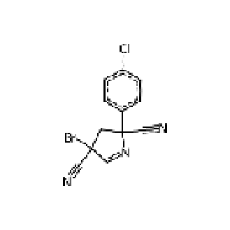 N#CC1(Br)C=NC(C#N)(c2ccc(Cl)cc2)C1